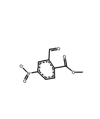 COC(=O)c1ccc([N+](=O)[O-])cc1C=O